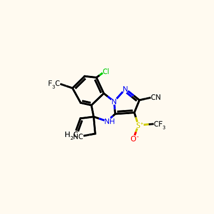 C=CC1(CC#N)Nc2c([S+]([O-])C(F)(F)F)c(C#N)nn2-c2c(Cl)cc(C(F)(F)F)cc21